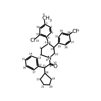 Cc1ccc(N2CCN(C(=O)C(c3ccccc3)C3CCCC3)CC2c2ccc(Cl)cc2)c(Cl)c1